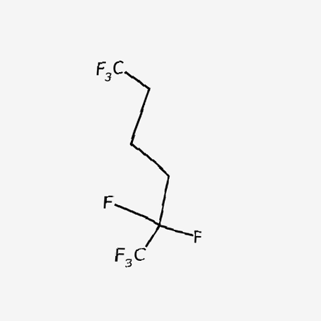 FC(F)(F)CCCC(F)(F)C(F)(F)F